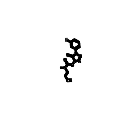 CN(CCC#N)C(=O)On1nnn(-c2cccc(F)c2)c1=O